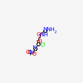 CC1(C)COCCN1C(=O)c1ccc(-c2cc(Cl)c3c(c2)CC(C=CC(=O)NCc2ccc(N)nc2)O3)nc1